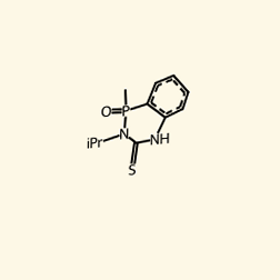 CC(C)N1C(=S)Nc2ccccc2P1(C)=O